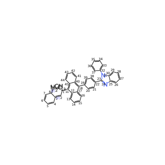 C=C(/C=c1/cccc/c1=C/C)c1c2ccccc2c(-c2ccc(-c3nc4ccccc4n3-c3ccccc3)cc2)c2ccccc12